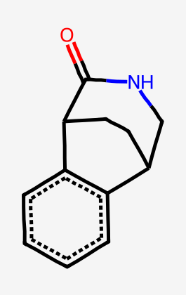 O=C1NCC2CCC1c1ccccc12